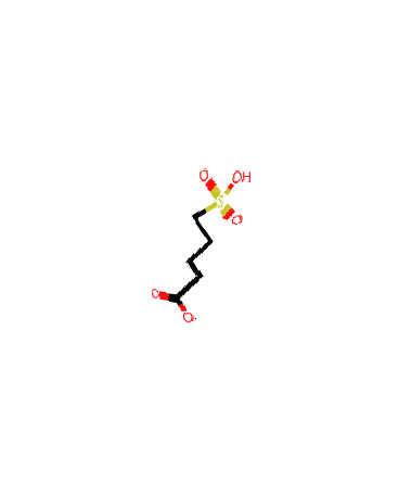 [O]C(=O)CCCCS(=O)(=O)O